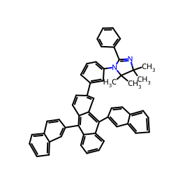 CC1(C)N=C(c2ccccc2)N(c2cccc(-c3ccc4c(-c5ccc6ccccc6c5)c5ccccc5c(-c5ccc6ccccc6c5)c4c3)c2)C1(C)C